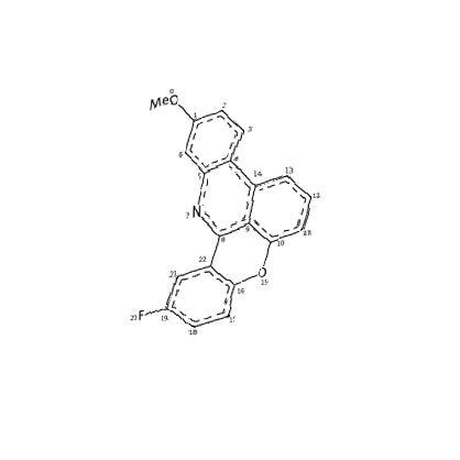 COc1ccc2c(c1)nc1c3c(cccc32)Oc2ccc(F)cc2-1